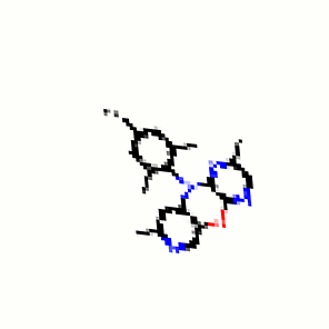 Cc1cc2c(cn1)Oc1ncc(C)nc1N2c1c(C)cc(C(C)(C)C)cc1C